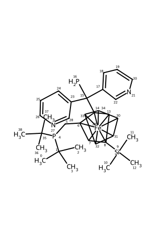 CC(C)(C)P(C[C]12[CH]3[C]4([Si](C)(C)C)[CH]5[C]1(C(P)(c1cccnc1)c1cccnc1)[Fe]35241678[CH]2[CH]1[CH]6[CH]7[CH]28)C(C)(C)C